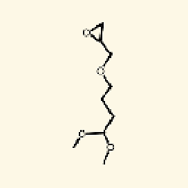 CO[C](CCCOCC1CO1)OC